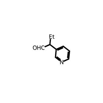 CCC(C=O)c1cccnc1